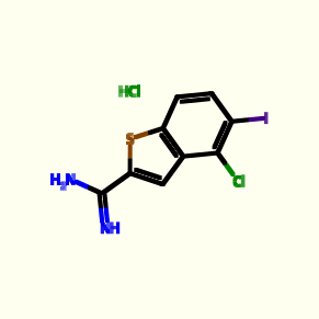 Cl.N=C(N)c1cc2c(Cl)c(I)ccc2s1